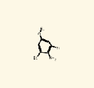 CCOc1cc(CC)c(N)c(CC)c1